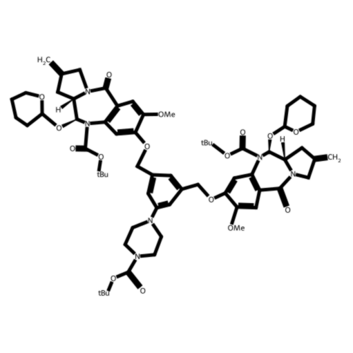 C=C1C[C@H]2[C@H](OC3CCCCO3)N(C(=O)OC(C)(C)C)c3cc(OCc4cc(COc5cc6c(cc5OC)C(=O)N5CC(=C)C[C@H]5[C@H](OC5CCCCO5)N6C(=O)OC(C)(C)C)cc(N5CCN(C(=O)OC(C)(C)C)CC5)c4)c(OC)cc3C(=O)N2C1